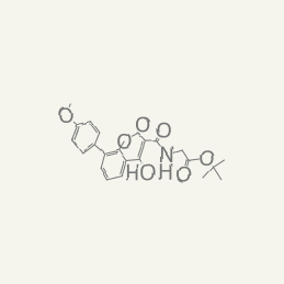 COc1ccc(-c2cccc3c(O)c(C(=O)NCC(=O)OC(C)(C)C)c(=O)oc23)cc1